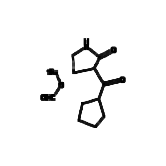 CC(C)(C)OC=O.O=C1NCCC1C(=O)C1CCCC1